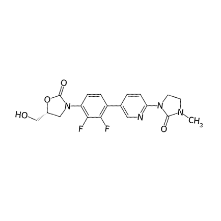 CN1CCN(c2ccc(-c3ccc(N4C[C@H](CO)OC4=O)c(F)c3F)cn2)C1=O